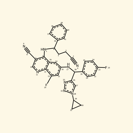 N#CCCC(Nc1c(C#N)cnc2c(F)cc(NC(c3ccc(F)cc3)c3cn(C4CC4)nn3)cc12)c1ccccc1